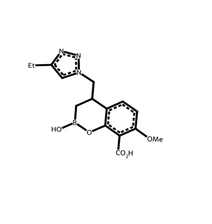 CCc1cn(CC2CB(O)Oc3c2ccc(OC)c3C(=O)O)nn1